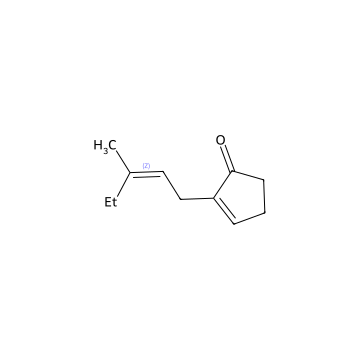 CC/C(C)=C\CC1=CCCC1=O